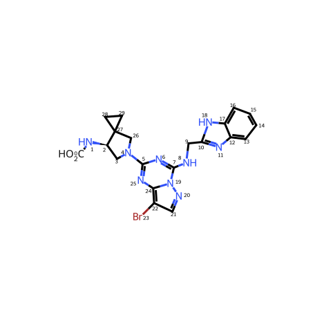 O=C(O)N[C@@H]1CN(c2nc(NCc3nc4ccccc4[nH]3)n3ncc(Br)c3n2)CC12CC2